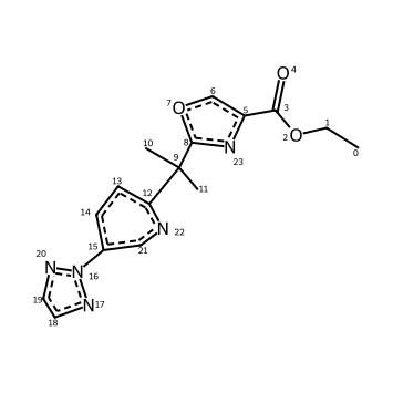 CCOC(=O)c1coc(C(C)(C)c2ccc(-n3nccn3)cn2)n1